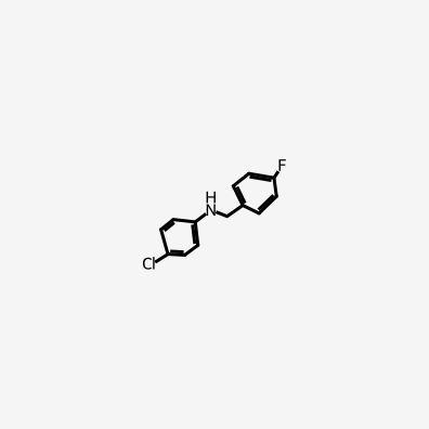 Fc1ccc(CNc2ccc(Cl)cc2)cc1